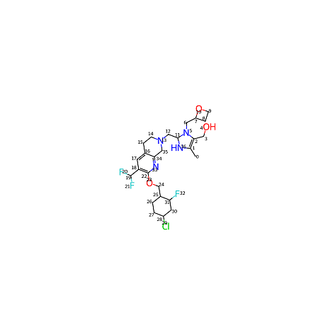 CC1=C(CO)N(CC2CCO2)C(CN2CCc3cc(C(F)F)c(OCC4CCC(Cl)CC4F)nc3C2)N1